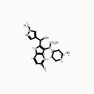 CCOC(=O)N(c1c(C(O)c2cnn(C)c2)oc2ccc(Cl)nc12)[C@H]1CCO[C@@H](CC)C1